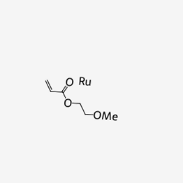 C=CC(=O)OCCOC.[Ru]